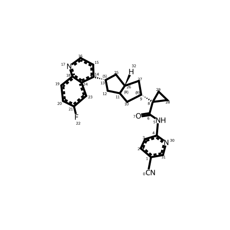 N#Cc1ccc(NC(=O)C2([C@@H]3CC4C[C@H](c5ccnc6ccc(F)cc56)C[C@@H]4C3)CC2)nc1